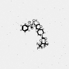 CN([C@H]1COC2(CCN(C(=O)OC(C(F)(F)F)C(F)(F)F)CC2)C1)S(=O)(=O)c1ccccc1